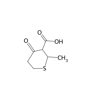 CC1SCCC(=O)C1C(=O)O